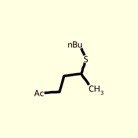 CCCCSC(C)CCC(C)=O